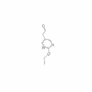 O=CCc1cnc(OCI)nc1